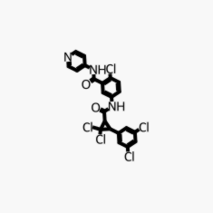 O=C(Nc1ccncc1)c1cc(NC(=O)C2C(c3cc(Cl)cc(Cl)c3)C2(Cl)Cl)ccc1Cl